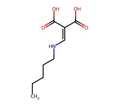 CCCCCNC=C(C(=O)O)C(=O)O